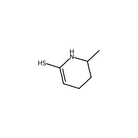 CC1CCC=C(S)N1